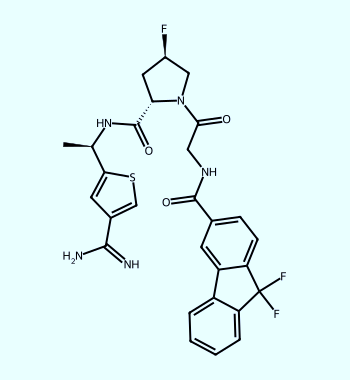 C[C@@H](NC(=O)[C@@H]1C[C@@H](F)CN1C(=O)CNC(=O)c1ccc2c(c1)-c1ccccc1C2(F)F)c1cc(C(=N)N)cs1